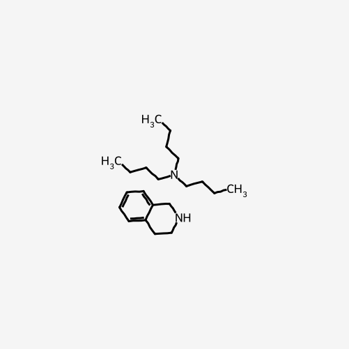 CCCCN(CCCC)CCCC.c1ccc2c(c1)CCNC2